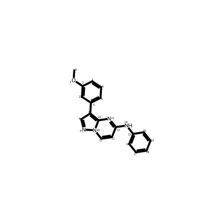 COc1cccc(-c2cnn3ccc(Nc4ccccc4)nc23)c1